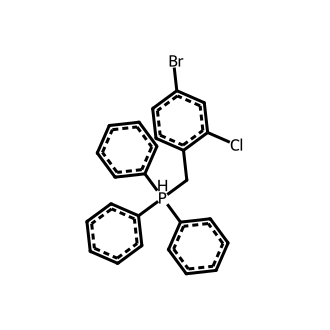 Clc1cc(Br)ccc1C[PH](c1ccccc1)(c1ccccc1)c1ccccc1